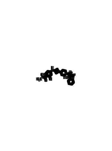 CN(C)C(=O)c1ccc(NC2CN(C3CCN(C(=O)C(O)(C4CCCCC4)C(F)(F)F)CC3)C2)cc1Cl